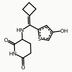 O=C1CCC(NC(=C2CCC2)c2cc(O)cs2)C(=O)N1